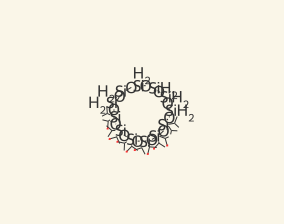 CC(C)[Si]1(C(C)C)O[SiH2]O[SiH2]O[SiH2]O[SiH2]O[SiH2]O[SiH2]O[Si](C(C)C)(C(C)C)O[Si](C(C)C)(C(C)C)O[Si](C(C)C)(C(C)C)O[Si](C(C)C)(C(C)C)O[Si](C(C)C)(C(C)C)O1